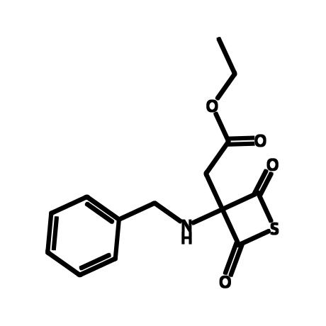 CCOC(=O)CC1(NCc2ccccc2)C(=O)SC1=O